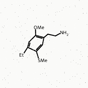 CCc1cc(OC)c(CCN)cc1SC